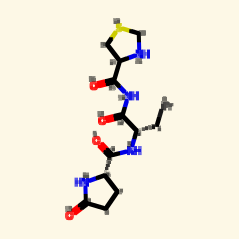 CC(C)C[C@H](NC(=O)[C@@H]1CCC(=O)N1)C(=O)NC(=O)C1CSCN1